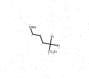 CCOC(=O)C(CC)(CC)CCCOC